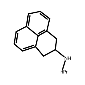 CCCNC1Cc2cccc3cccc(c23)C1